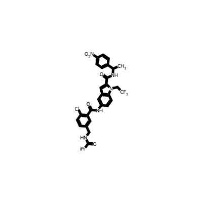 CC(C)C(=O)NCc1ccc(Cl)c(C(=O)Nc2ccc3c(c2)cc(C(=O)NC(C)c2ccc([N+](=O)[O-])cc2)n3CC(F)(F)F)c1